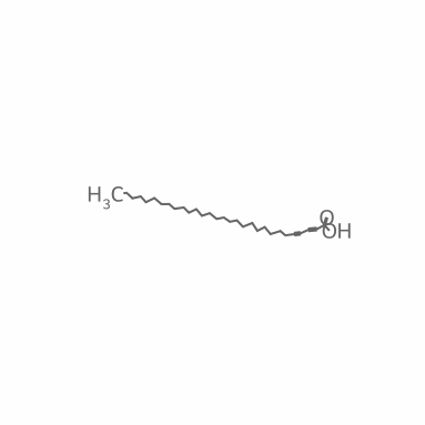 CCCCCCCCCCCCCCCCCCCCCCCCCC#CC#CC(=O)O